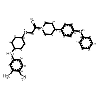 Cc1cc(NC2CCC(OCC(=O)N3CCC(c4ccc(Oc5ccccc5)cc4)CC3)CC2)ccc1C#N